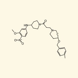 COc1cc(NC2CCN(C(=O)CCN3CCC(OCc4ccc(C)cc4)CC3)CC2)ccc1[N+](=O)[O-]